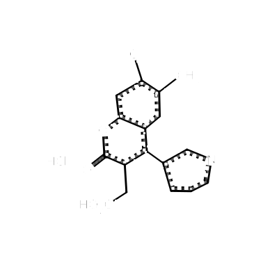 Cc1cc2c(-c3cccnc3)c(CC(=O)O)c(=O)oc2cc1Cl.Cl